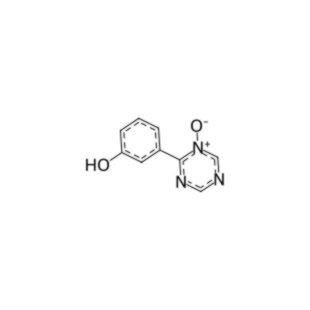 [O-][n+]1cncnc1-c1cccc(O)c1